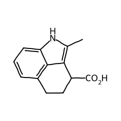 Cc1[nH]c2cccc3c2c1C(C(=O)O)CC3